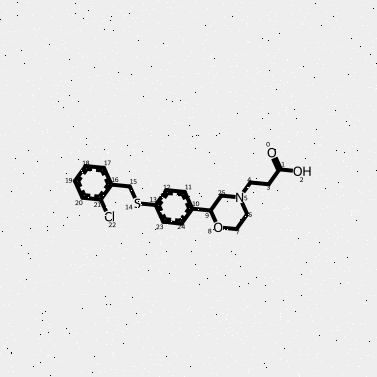 O=C(O)CCN1CCOC(c2ccc(SCc3ccccc3Cl)cc2)C1